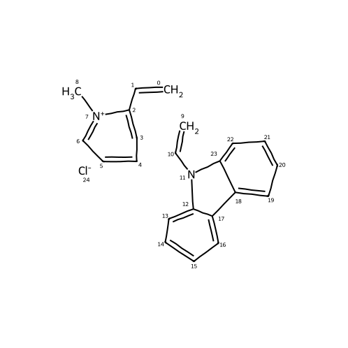 C=Cc1cccc[n+]1C.C=Cn1c2ccccc2c2ccccc21.[Cl-]